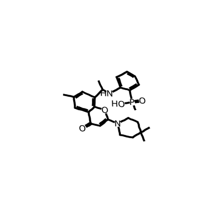 Cc1cc(C(C)Nc2ccccc2P(C)(=O)O)c2oc(N3CCC(C)(C)CC3)cc(=O)c2c1